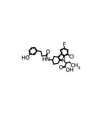 CCC(C(=O)O)n1c2c(c3cc(F)cc(Cl)c31)CC(NC(=O)CCc1cccc(O)c1)CC2